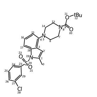 Cc1cc2c(N3CCN(C(=O)OC(C)(C)C)CC3)cccc2n1S(=O)(=O)c1cccc(Cl)c1